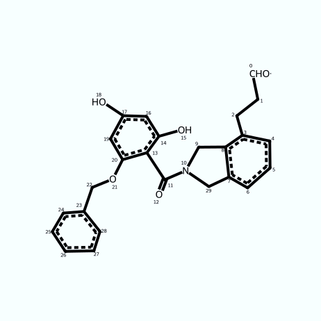 O=[C]CCc1cccc2c1CN(C(=O)c1c(O)cc(O)cc1OCc1ccccc1)C2